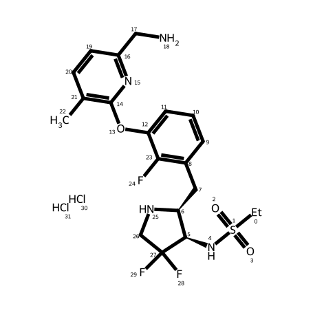 CCS(=O)(=O)N[C@@H]1[C@H](Cc2cccc(Oc3nc(CN)ccc3C)c2F)NCC1(F)F.Cl.Cl